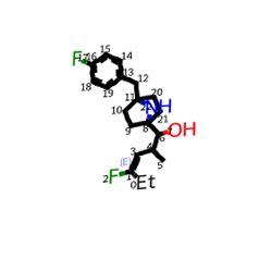 CC/C(F)=C\C(C)C(O)C12CCC(Cc3ccc(F)cc3)(CC1)N2